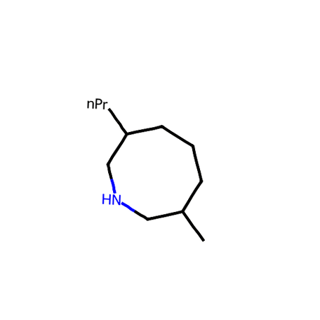 CCCC1CCCC(C)CNC1